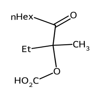 CCCCCCC(=O)C(C)(CC)OC(=O)O